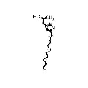 CC(C)Cn1cc(COCCOCCOCCF)nn1